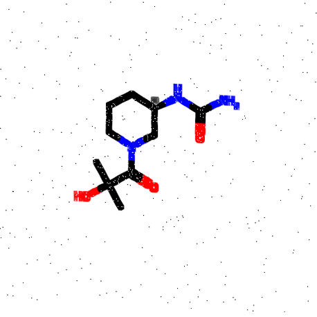 CC(C)(O)C(=O)N1CCC[C@@H](NC(N)=O)C1